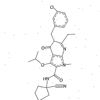 CCC1=Nc2c(c(OC(C)C)c(C(=O)NC3(C#N)CCCC3)n2C)C(=O)C1Cc1cccc(Cl)c1